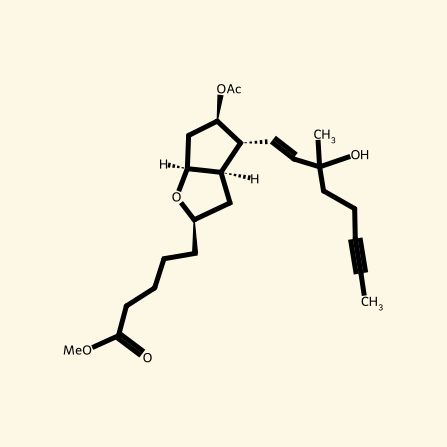 CC#CCCC(C)(O)C=C[C@@H]1[C@H]2C[C@@H](CCCCC(=O)OC)O[C@H]2C[C@H]1OC(C)=O